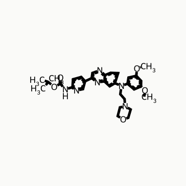 COc1cc(OC)cc(N(CCN2CCOCC2)c2ccc3ncc(-c4ccc(NC(=O)OC(C)(C)C)nc4)nc3c2)c1